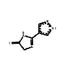 O=C1CN=C(c2cn[nH]c2)N1